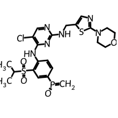 C=P(=O)c1ccc(Nc2nc(NCc3cnc(N4CCOCC4)s3)ncc2Cl)c(S(=O)(=O)C(C)C)c1